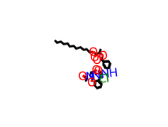 CCCCCCCCCCCCOC(=O)C(C)OC(=O)c1cccc(NC(=O)C(Cl)(c2ccccc2)N2C(=O)CN(C(C)=O)C2=O)c1